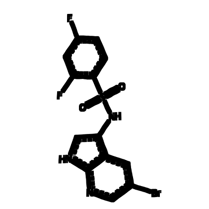 O=S(=O)(Nc1c[nH]c2ncc(Br)cc12)c1ccc(F)cc1F